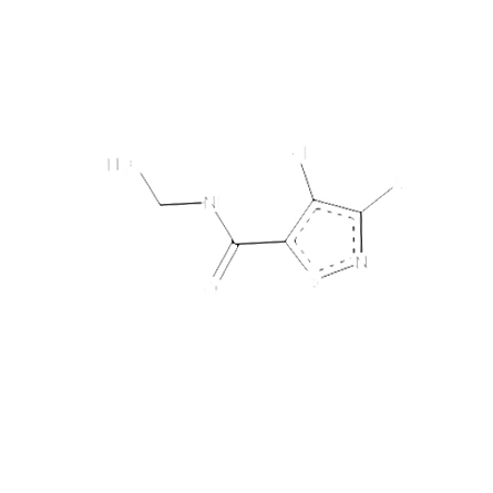 CCNC(=O)c1snc(Cl)c1Cl